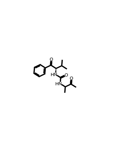 CC(=O)C(C)NC(=O)N[C@@H](C(=O)c1ccccc1)C(C)C